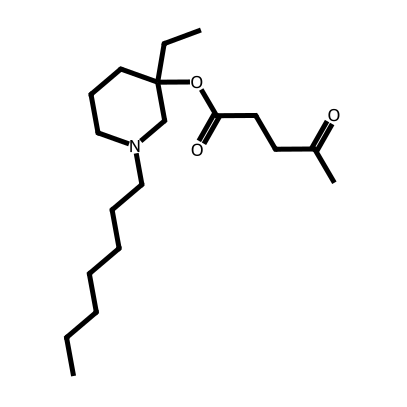 CCCCCCCN1CCCC(CC)(OC(=O)CCC(C)=O)C1